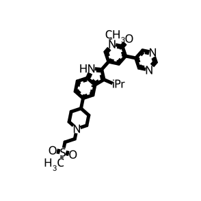 CC(C)c1c(-c2cc(-c3cncnc3)c(=O)n(C)c2)[nH]c2ccc(C3CCN(CCS(C)(=O)=O)CC3)cc12